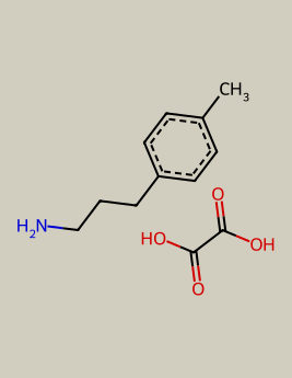 Cc1ccc(CCCN)cc1.O=C(O)C(=O)O